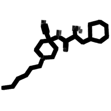 CCCCCCN1CCC(C#N)(NC(=O)C(N)CC2CCCCC2)CC1